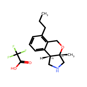 CCCc1cccc2c1CO[C@]1(C)CNC[C@H]21.O=C(O)C(F)(F)F